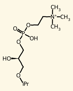 CC(C)OC[C@@H](O)COP(=O)(O)OCC[N+](C)(C)C